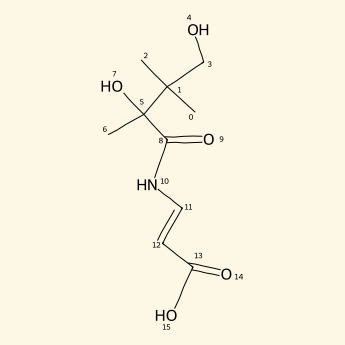 CC(C)(CO)C(C)(O)C(=O)N/C=C/C(=O)O